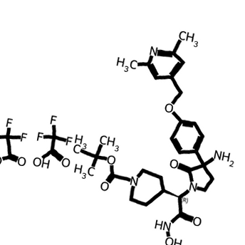 Cc1cc(COc2ccc(C3(N)CCN([C@@H](C(=O)NO)C4CCN(C(=O)OC(C)(C)C)CC4)C3=O)cc2)cc(C)n1.O=C(O)C(F)(F)F.O=C(O)C(F)(F)F